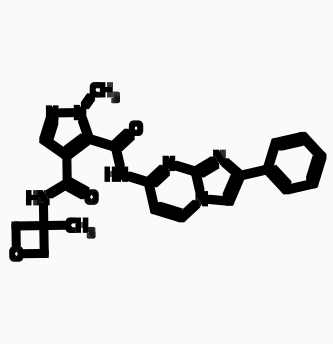 Cn1ncc(C(=O)NC2(C)COC2)c1C(=O)Nc1ccn2cc(-c3ccccc3)nc2n1